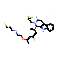 C=C(/C=C(F)\C=C(/C)OCCNCCCF)[C@@H]1c2[nH]c3ccccc3c2C[C@@H](C)N1CC(F)(F)F